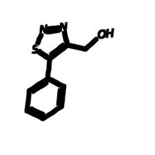 OCc1nnsc1-c1ccccc1